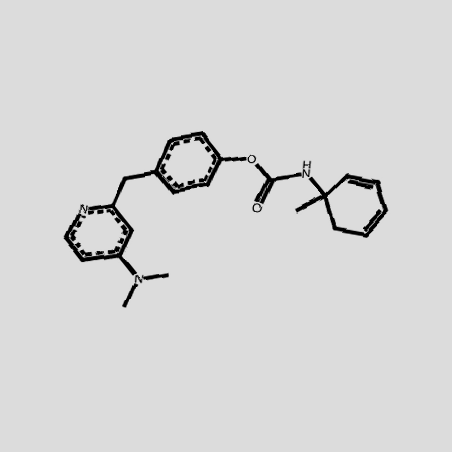 CN(C)c1ccnc(Cc2ccc(OC(=O)NC3(C)C=CC=CC3)cc2)c1